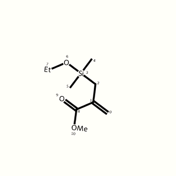 C=C(C[Si](C)(C)OCC)C(=O)OC